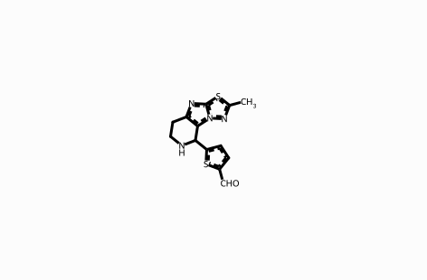 Cc1nn2c3c(nc2s1)CCNC3c1ccc(C=O)s1